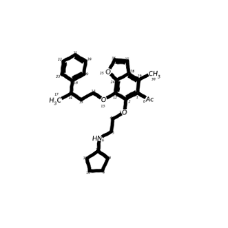 CC(=O)c1c(OCCNC2CCCC2)c(OCCC(C)c2ccccc2)c2occc2c1C